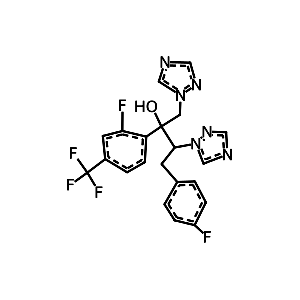 OC(Cn1cncn1)(c1ccc(C(F)(F)F)cc1F)C(Cc1ccc(F)cc1)n1cncn1